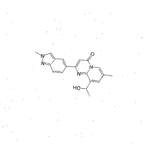 Cc1cc(C(C)O)c2nc(-c3ccc4nn(C)cc4c3)cc(=O)n2c1